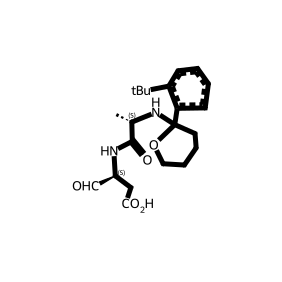 C[C@H](NC1(c2ccccc2C(C)(C)C)CCCCO1)C(=O)N[C@H](C=O)CC(=O)O